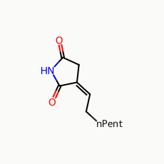 CCCCCCC=C1CC(=O)NC1=O